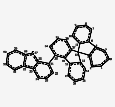 c1ccc2c(c1)-c1ccccc1C21c2ccccc2-c2c(-c3cccc4c3sc3ccccc34)cccc21